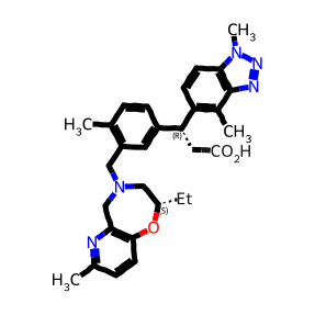 CC[C@H]1CN(Cc2cc([C@@H](CC(=O)O)c3ccc4c(nnn4C)c3C)ccc2C)Cc2nc(C)ccc2O1